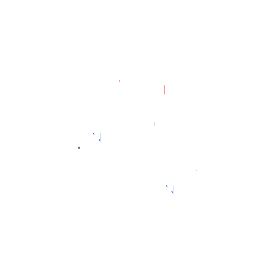 CC[C@H](C)n1cc(C(=O)O)c(=O)c(-c2ccnc(C(F)(F)F)c2)c1C